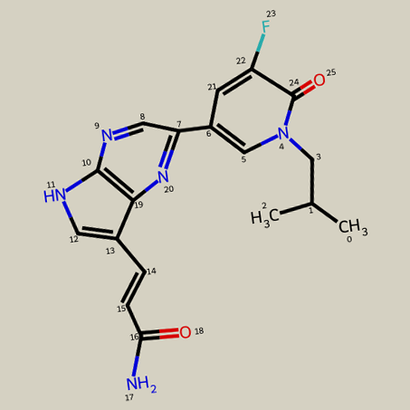 CC(C)Cn1cc(-c2cnc3[nH]cc(C=CC(N)=O)c3n2)cc(F)c1=O